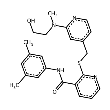 Cc1cc(C)cc(NC(=O)c2cccnc2SCc2ccnc(N(C)CCO)c2)c1